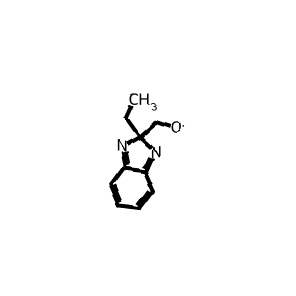 CCC1(C[O])N=c2ccccc2=N1